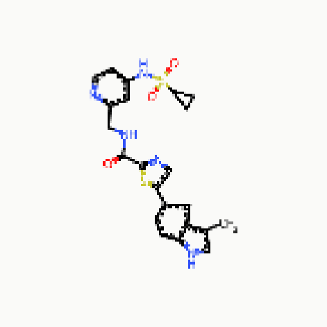 O=C(NCc1cc(NS(=O)(=O)C2CC2)ccn1)c1ncc(-c2ccc3[nH]cc(C(F)(F)F)c3c2)s1